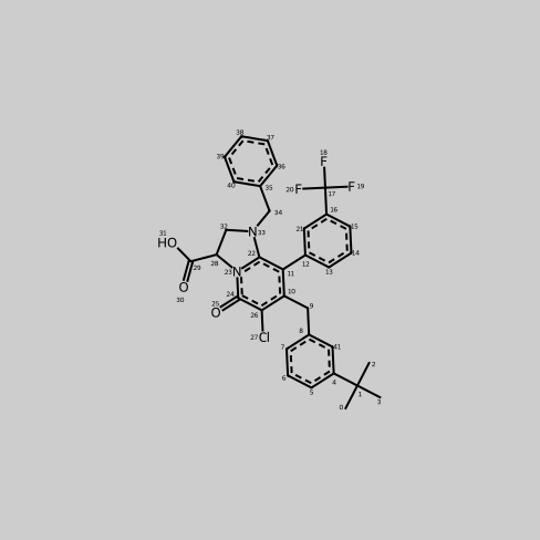 CC(C)(C)c1cccc(Cc2c(-c3cccc(C(F)(F)F)c3)c3n(c(=O)c2Cl)C(C(=O)O)CN3Cc2ccccc2)c1